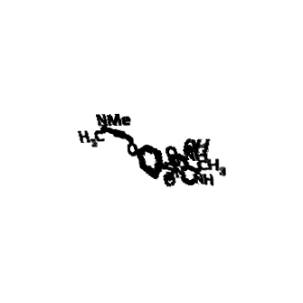 CNC(C)C#CCOc1ccc(S(=O)(=O)N2CCNC(C)C2C(=O)NO)cc1